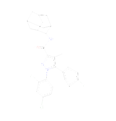 Cc1c(C(=O)NC2C3CC4CC(C3)CC2C4)nn(-c2ccc(Cl)cc2Cl)c1-c1ccc(Cl)cc1